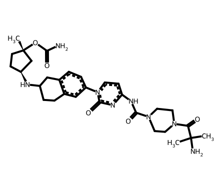 CC(C)(N)C(=O)N1CCN(C(=O)Nc2ccn(-c3ccc4c(c3)CCC(N[C@H]3CC[C@](C)(OC(N)=O)C3)C4)c(=O)n2)CC1